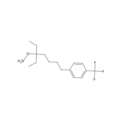 CCC(CC)(CCCCc1ccc(C(F)(F)F)cc1)O[SiH3]